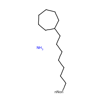 CCCCCCCCCCCCCCCCC1CCCCCC1.N